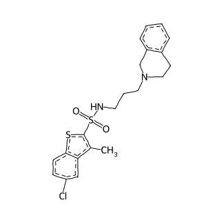 Cc1c(S(=O)(=O)NCCCN2CCc3ccccc3C2)sc2ccc(Cl)cc12